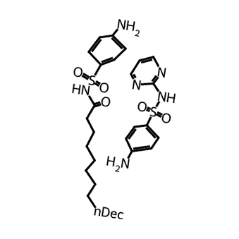 CCCCCCCCCCCCCCCCCC(=O)NS(=O)(=O)c1ccc(N)cc1.Nc1ccc(S(=O)(=O)Nc2ncccn2)cc1